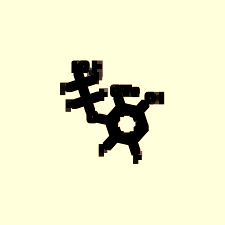 COc1c(O)cc(F)c(F)c1OC(F)(F)C(F)(F)S(=O)(=O)O